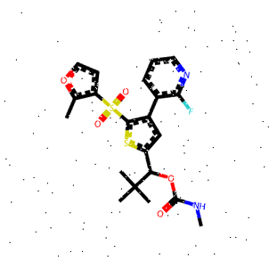 CNC(=O)OC(c1cc(-c2cccnc2F)c(S(=O)(=O)c2ccoc2C)s1)C(C)(C)C